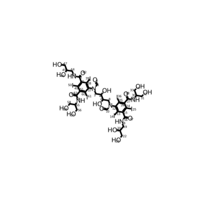 O=CN(CC(O)C(O)CN(C=O)c1c(I)c(C(=O)NCC(O)CO)c(I)c(C(=O)NC(CO)CO)c1I)c1c(I)c(C(=O)NCC(O)CO)c(I)c(C(=O)NC(CO)CO)c1I